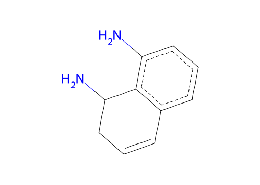 Nc1cccc2c1C(N)CC=C2